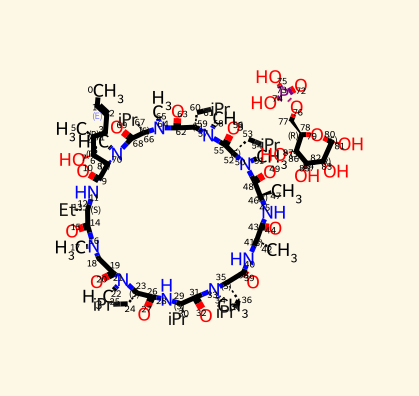 C/C=C/C[C@@H](C)[C@@H](O)[C@H]1C(=O)N[C@@H](CC)C(=O)N(C)CC(=O)N(C)[C@@H](CC(C)C)C(=O)N[C@@H](C(C)C)C(=O)N(C)[C@@H](CC(C)C)C(=O)N[C@@H](C)C(=O)N[C@H](C)C(=O)N(C)[C@@H](CC(C)C)C(=O)N(C)[C@@H](CC(C)C)C(=O)N(C)[C@@H](C(C)C)C(=O)N1C.O=P(O)(O)OC[C@H]1O[C@H](O)[C@H](O)[C@@H](O)[C@@H]1O